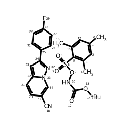 Cc1cc(C)c(S(=O)(=O)ONC(=O)OC(C)(C)C)c(C)c1.N#Cc1ccc2cc(-c3ccc(F)cc3)nn2c1